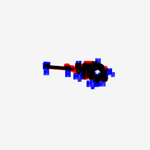 CCCC[C@H](NC(=O)[C@@H](NC(=O)[C@H](Cc1c[nH]cn1)NC(=O)[C@H](CCC(N)=O)NC(=O)[C@H](CO)NC(=O)CNC(=O)COCCOCCNC(=O)CCCCCCCCCCCCCCCc1nnn[nH]1)[C@@H](C)O)C(=O)N[C@H]1CCC(=O)NCCCC[C@@H](C(N)=O)NC(=O)[C@H](Cc2c[nH]c3ccccc23)NC(=O)[C@H](CCCNC(=N)N)NC(=O)[C@@H](Cc2ccccc2)NC(=O)[C@@H]2C[C@@H](O)CN2C1=O